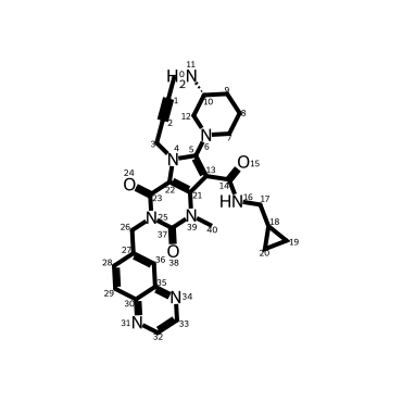 CC#CCn1c(N2CCC[C@@H](N)C2)c(C(=O)NCC2CC2)c2c1c(=O)n(Cc1ccc3nccnc3c1)c(=O)n2C